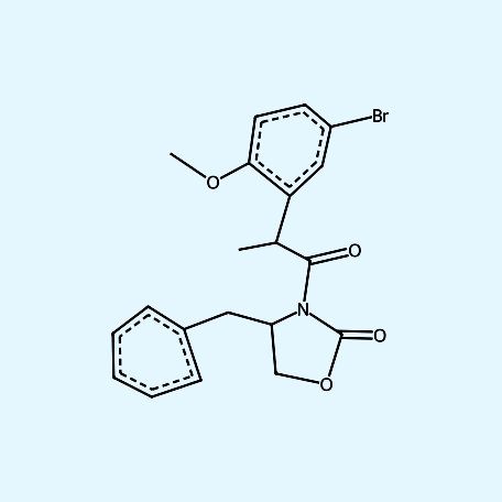 COc1ccc(Br)cc1C(C)C(=O)N1C(=O)OCC1Cc1ccccc1